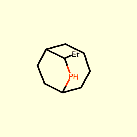 CCC1PC2CCCCC1CC2